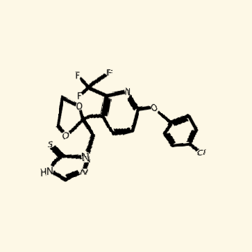 FC(F)(F)c1nc(Oc2ccc(Cl)cc2)ccc1C1(Cn2nc[nH]c2=S)OCCO1